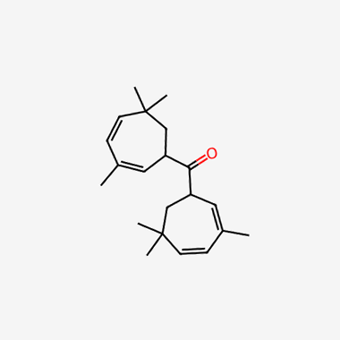 CC1=CC(C(=O)C2C=C(C)C=CC(C)(C)C2)CC(C)(C)C=C1